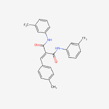 Cc1ccc(C=C(C(=O)Nc2cccc(C(F)(F)F)c2)C(=O)Nc2cccc(C(F)(F)F)c2)cc1